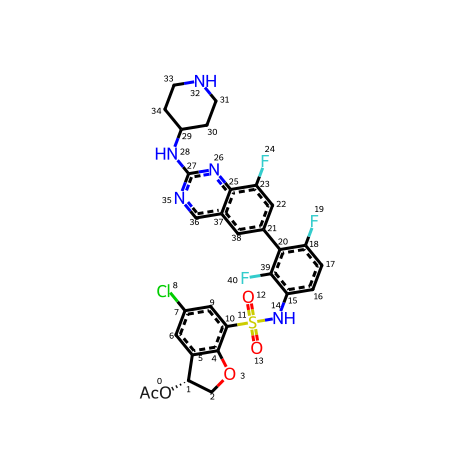 CC(=O)O[C@H]1COc2c1cc(Cl)cc2S(=O)(=O)Nc1ccc(F)c(-c2cc(F)c3nc(NC4CCNCC4)ncc3c2)c1F